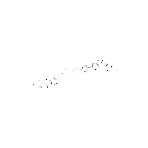 CCN(CCC1CN(c2ccc(-c3ccc4c(c3)C(C)(C)C(=O)N4c3ccc(C#N)c(Cl)c3)cc2)C1)C1CCN(c2ccc3c(c2)C(=O)N(C2CCC(=O)NC2=O)C3=O)C1